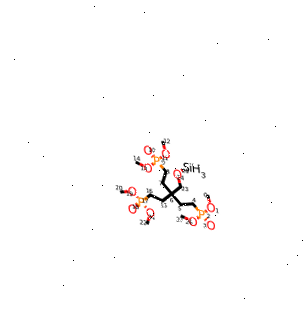 COP(=O)(CCC(CCP(=O)(OC)OC)(CCP(=O)(OC)OC)CO[SiH3])OC